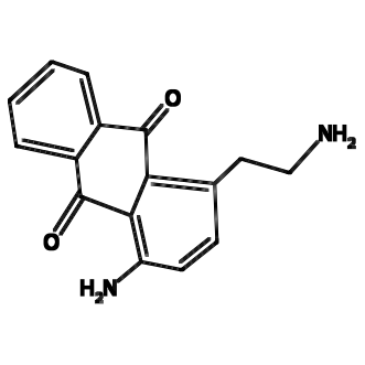 NCCc1ccc(N)c2c1C(=O)c1ccccc1C2=O